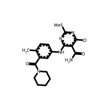 CSc1nc(Cl)c(C(N)=O)c(Nc2ccc(C)c(C(=O)N3CCCCC3)c2)n1